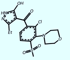 CCc1n[nH]c(O)c1C(=O)c1ccc(S(C)(=O)=O)c(N2CCOCC2)c1Cl